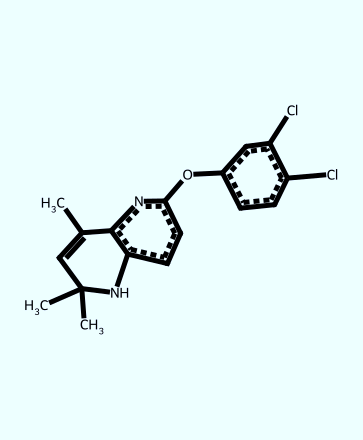 CC1=CC(C)(C)Nc2ccc(Oc3ccc(Cl)c(Cl)c3)nc21